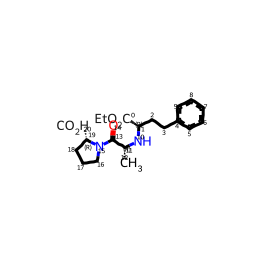 CCOC(=O)[C@@H](CCc1ccccc1)N[C@H](C)C(=O)N1CCC[C@@H]1C(=O)O